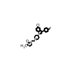 CN1CCN(CCN2CCC(n3cc(-c4ccc(F)cc4)c4cc(Cl)ccc43)CC2)C1=O